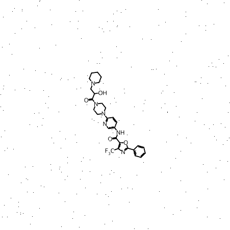 O=C(Nc1ccc(N2CCN(C(=O)C(O)CN3CCCCC3)CC2)nc1)c1oc(-c2ccccc2)nc1C(F)(F)F